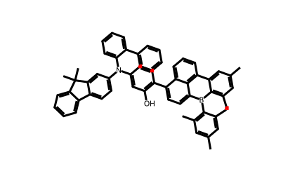 Cc1cc(C)c(B2c3c(C)cc(C)cc3-c3cccc4c(-c5ccc(N(c6ccc7c(c6)C(C)(C)c6ccccc6-7)c6ccccc6-c6ccccc6)cc5O)ccc2c34)c(C)c1